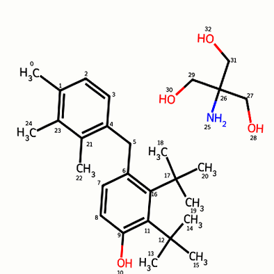 Cc1ccc(Cc2ccc(O)c(C(C)(C)C)c2C(C)(C)C)c(C)c1C.NC(CO)(CO)CO